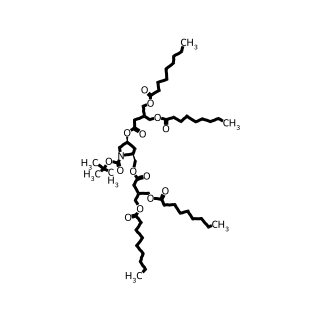 CCCCCCCCC(=O)OCC(COC(=O)CCCCCCCC)CC(=O)OC[C@@H]1C[C@H](OC(=O)CC(COC(=O)CCCCCCCC)COC(=O)CCCCCCCC)CN1C(=O)OC(C)(C)C